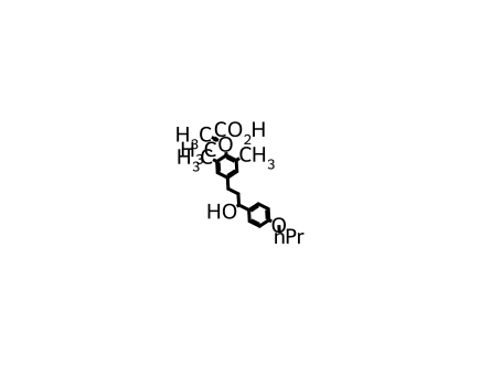 CCCOc1ccc(C(O)CCc2cc(C)c(OC(C)(C)C(=O)O)c(C)c2)cc1